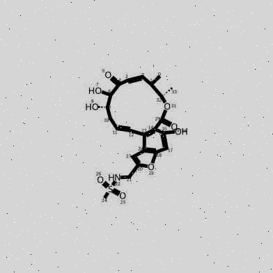 CC1/C=C\C(=O)C(O)[C@@H](O)C/C=C/c2c(c(O)cc3oc(CNS(C)(=O)=O)cc23)C(=O)O[C@H]1C